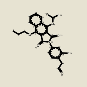 CCCOc1c2c(c(OC(F)F)c3ccccc13)C(=O)N(c1ccc(CC=O)c(F)c1)C2=O